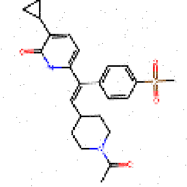 CC(=O)N1CCC(/C=C(\c2ccc(S(C)(=O)=O)cc2)c2ccc(C3CC3)c(=O)[nH]2)CC1